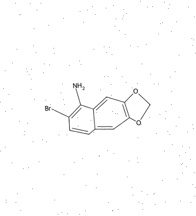 Nc1c(Br)ccc2cc3c(cc12)OCO3